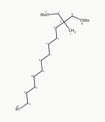 COCC(C)(CCCCCCCCCCC(C)C)COC